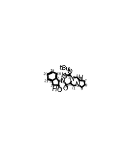 CC(C)(C)OC(=O)N1C[C@H]2CCCN2C[C@H]1C(=O)N[C@H]1c2ccccc2C[C@H]1O